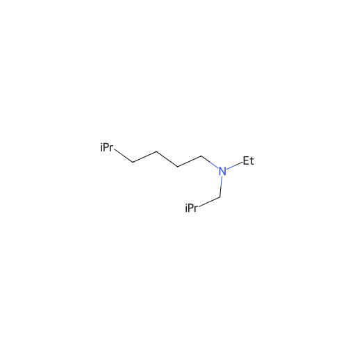 CCN(CCCCC(C)C)CC(C)C